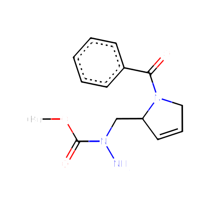 CC(C)(C)OC(=O)N(N)CC1C=CCN1C(=O)c1ccccc1